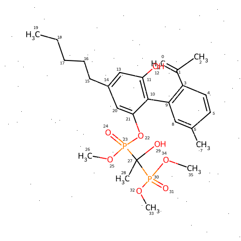 C=C(C)c1ccc(C)cc1-c1c(O)cc(CCCCC)cc1OP(=O)(OC)C(C)(O)P(=O)(OC)OC